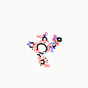 CON=C1C[C@@H](C)O[C@@H](O[C@@H]2[C@@H](C)[C@H](O[C@H]3C[C@H](C)N(C)C[C@H](C)O3)[C@@H](C)C(=O)O[C@@H](C(C)CO[C@@H]3O[C@H](C)[C@@H](O)[C@@H](OC)[C@H]3OC)[C@@H](C)[CH][C@@H](C)C(=O)[C@@](C)(OC(=O)NC(C)(C)CNS(=O)(=O)c3ccccc3[N+](=O)[O-])C[C@@H]2C)[C@@H]1O